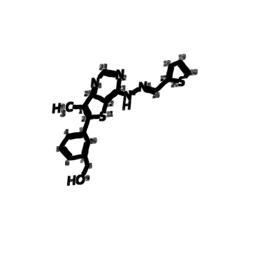 Cc1c(-c2cccc(CO)c2)sc2c(NN=Cc3cccs3)ncnc12